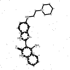 Nc1c(-c2nc3cc(NCCN4CCCCC4)ccc3[nH]2)c(=O)[nH]c2ccccc12